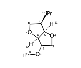 CC(C)O[C@H]1CO[C@H]2[C@@H]1OC[C@H]2C(C)C